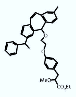 CCOC(=O)C(Cc1ccc(OCCOC2c3ccc(C)cc3C=Cc3ccc(C(C)c4ccccc4)cc32)cc1)OC